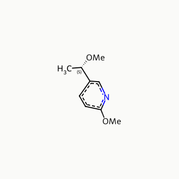 COc1ccc([C@H](C)OC)cn1